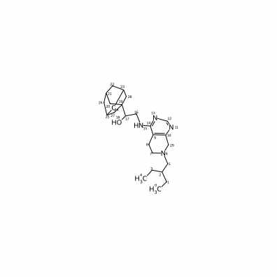 CCC(CC)CN1CCc2c(ncnc2NCC(O)C23CC4CC(CC(C4)C2)C3)C1